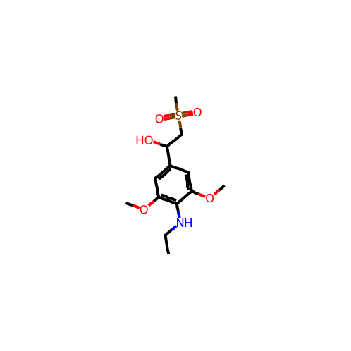 CCNc1c(OC)cc(C(O)CS(C)(=O)=O)cc1OC